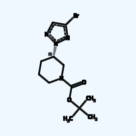 CC(C)(C)OC(=O)N1CCC[C@H](n2ncc(Br)n2)C1